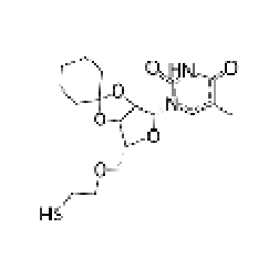 Cc1cn([C@@H]2O[C@H](COCCS)C3OC4(CCCCC4)OC32)c(=O)[nH]c1=O